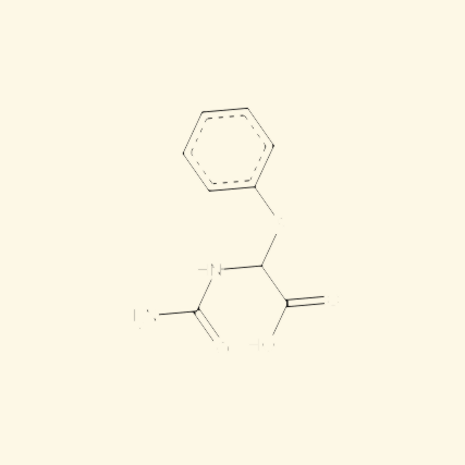 NC(=O)NC(Sc1ccccc1)C(=O)O